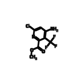 COC(=O)c1nc(Cl)cc(N)c1C(F)(F)F